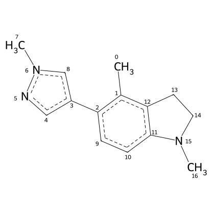 Cc1c(-c2cnn(C)c2)ccc2c1CCN2C